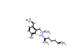 C=CCCCC(=C)NN(C)Cc1cc(CC)ccc1C=C